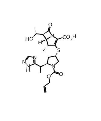 C=CCOC(=O)N1C[C@@H](SC2=C(C(=O)O)N3C(=O)[C@H]([C@@H](C)O)[C@H]3[C@H]2C)C[C@@H]1C(C)c1ncn[nH]1